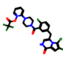 O=C(c1cc(Cc2c[nH]c(=O)c3cc(Cl)c(Cl)n23)ccc1F)N1CCN(c2cccc[n+]2OC(=O)C(F)(F)F)CC1